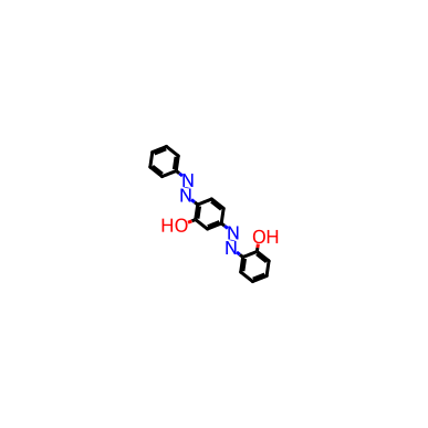 Oc1ccccc1N=Nc1ccc(/N=N/c2ccccc2)c(O)c1